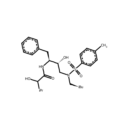 CC[C@H](C)CN(C[C@@H](O)[C@H](Cc1ccccc1)NC(=O)C(O)C(C)C)S(=O)(=O)c1ccc(C)cc1